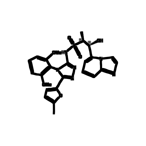 COc1cccc(OC)c1-n1c(NS(=O)(=O)[C@@H](C)[C@H](O)c2cccc3nccn23)nnc1-c1ccc(C)o1